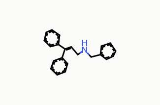 C(CNCc1ccccc1)=C(c1ccccc1)c1ccccc1